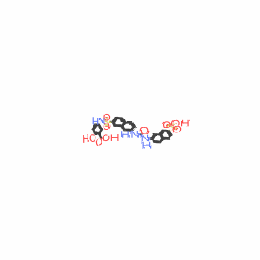 O=C(Nc1ccc2ccc(S(=O)(=O)O)cc2c1)Nc1ccc2ccc(S(=O)(=O)Nc3ccc(O)c(C(=O)O)c3)cc2c1